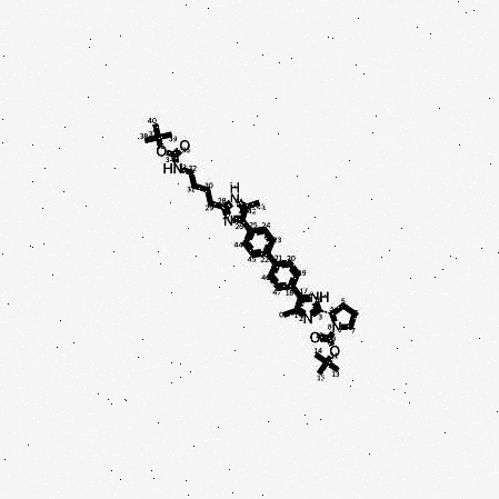 Cc1nc([C@@H]2CCCN2C(=O)OC(C)(C)C)[nH]c1-c1ccc(-c2ccc(-c3nc(CCCCNC(=O)OC(C)(C)C)[nH]c3C)cc2)cc1